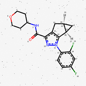 O=C(NC1CCOCC1)c1nn(-c2ccc(F)cc2F)c2c1C[C@H]1C[C@@H]21